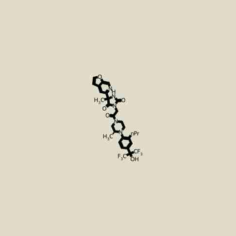 CCCc1cc(C(O)(C(F)(F)F)C(F)(F)F)ccc1N1CCN(C(=O)CN2C(=O)NC(C)(c3cc4ccoc4cn3)C2=O)C[C@@H]1C